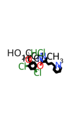 Cc1nn(C)c(Oc2cc(O[C@@H](C)C(=O)O)c(Cl)cc2Cl)c1/C=C/c1ccccn1.Cl